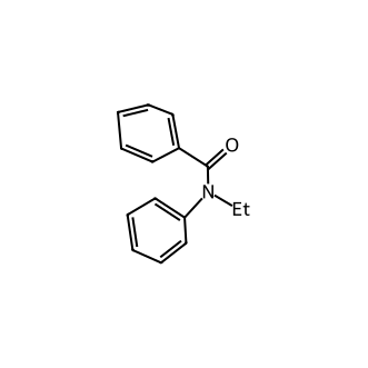 [CH2]CN(C(=O)c1ccccc1)c1ccccc1